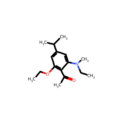 CCOc1cc(C(C)C)cc(N(C)CC)c1C(C)=O